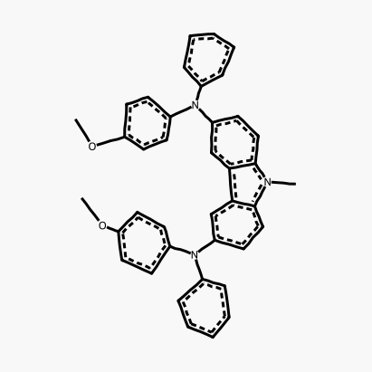 COc1ccc(N(c2ccccc2)c2ccc3c(c2)c2cc(N(c4ccccc4)c4ccc(OC)cc4)ccc2n3C)cc1